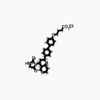 CCOC(=O)CCCOc1ccc(-c2ccc(-c3cc(N4C(=O)CNC4=O)c4cnccc4n3)cc2)cc1